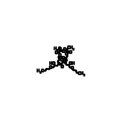 C=C(C)C(=O)OCC(O)CN(CC(=O)N(CC(O)COCCCC)CC(O)COC(=O)C(=C)C)CC(O)COCCCC